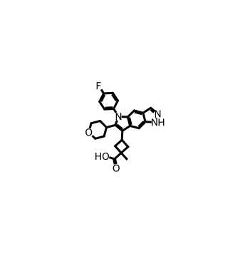 CC1(C(=O)O)CC(c2c(C3CCOCC3)n(-c3ccc(F)cc3)c3cc4cn[nH]c4cc23)C1